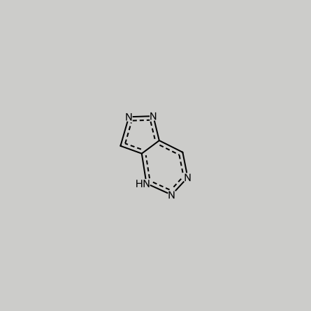 c1nn[nH]c2cnnc1-2